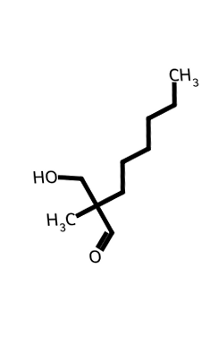 CCCCCCC(C)(C=O)CO